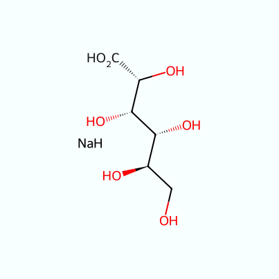 O=C(O)[C@H](O)[C@@H](O)[C@H](O)[C@H](O)CO.[NaH]